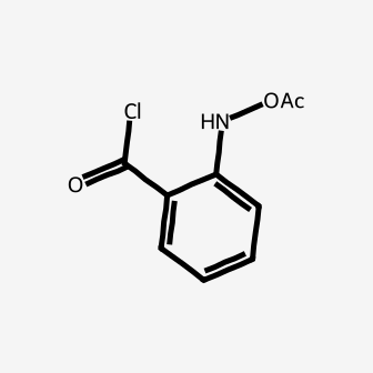 CC(=O)ONc1ccccc1C(=O)Cl